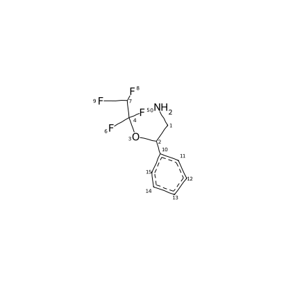 NCC(OC(F)(F)C(F)F)c1ccccc1